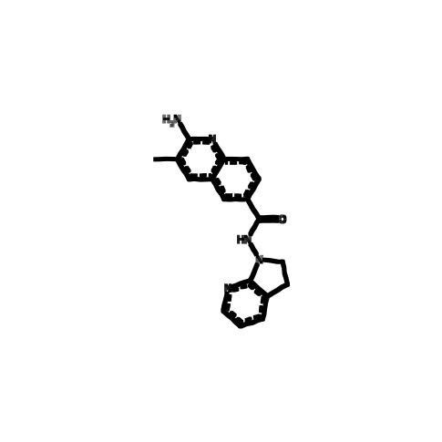 Cc1cc2cc(C(=O)NN3CCc4cccnc43)ccc2nc1N